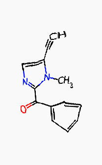 C#Cc1cnc(C(=O)c2ccccc2)n1C